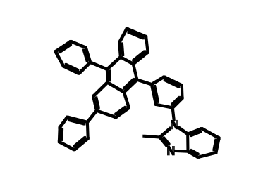 Cc1nc2ccccc2n1-c1cccc(-c2c3ccccc3c(-c3ccccc3)c3cc(-c4ccccc4)ccc23)c1